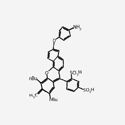 C=c1c(CCCC)cc2c(c1CCCC)Oc1c(ccc3cc(Oc4ccc(N)cc4)ccc13)C=2c1ccc(S(=O)(=O)O)cc1S(=O)(=O)O